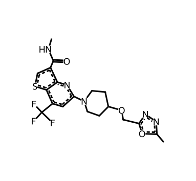 CNC(=O)c1csc2c(C(F)(F)F)cc(N3CCC(OCc4nnc(C)o4)CC3)nc12